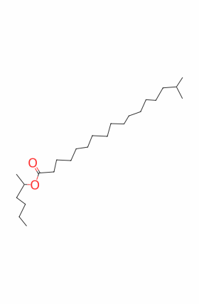 CCCCC(C)OC(=O)CCCCCCCCCCCCCCC(C)C